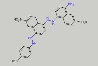 Nc1ccc(NNC2=CC=C(NNc3ccc(S(=O)(=O)O)cc3)C3=CC(S(=O)(=O)O)=CCC23)c2ccc(S(=O)(=O)O)cc12